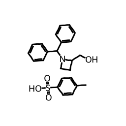 Cc1ccc(S(=O)(=O)O)cc1.OCC1CCN1C(c1ccccc1)c1ccccc1